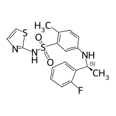 Cc1ccc(N[C@@H](C)c2ccccc2F)cc1S(=O)(=O)Nc1nccs1